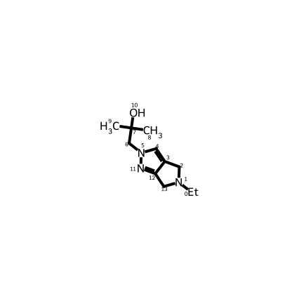 CCN1Cc2cn(CC(C)(C)O)nc2C1